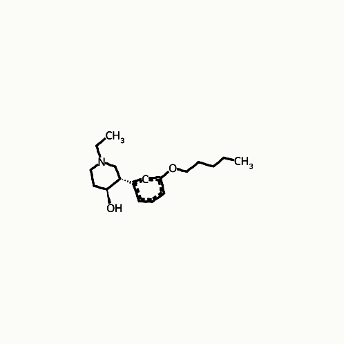 CCCCCOc1cccc([C@H]2CN(CC)CC[C@@H]2O)c1